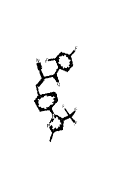 Cc1cc(C(F)(F)F)n(-c2ccc(C=C(C#N)C(=O)c3ccc(F)cc3F)cc2)n1